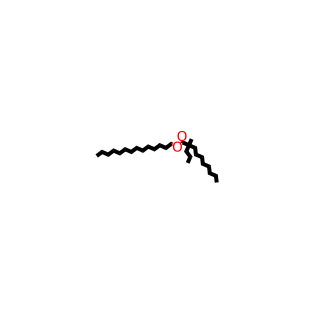 CCCCCCCCCCCCCCOC(=O)C(C)(CCC)CCCCCCCC